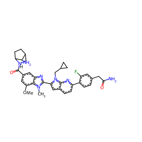 COc1cc(C(=O)N2CC3CCC2[C@@H]3N)cc2nc(-c3cc4ccc(-c5ccc(CC(N)=O)cc5F)nc4n3CC3CC3)n(C)c12